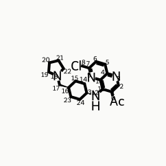 CC(=O)c1cnc2ccc(Cl)nc2c1N[C@H]1CC[C@H](CN2CCCC2)CC1